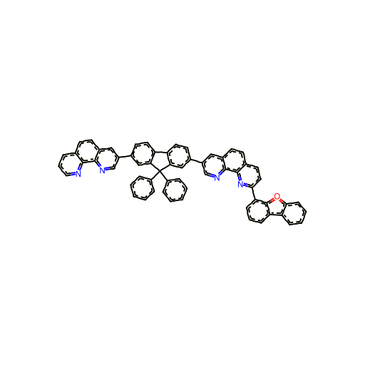 c1ccc(C2(c3ccccc3)c3cc(-c4cnc5c(ccc6cccnc65)c4)ccc3-c3ccc(-c4cnc5c(ccc6ccc(-c7cccc8c7oc7ccccc78)nc65)c4)cc32)cc1